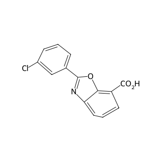 O=C(O)c1cccc2nc(-c3cccc(Cl)c3)oc12